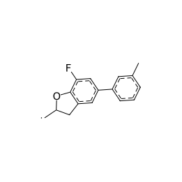 [CH2]C1Cc2cc(-c3cccc(C)c3)cc(F)c2O1